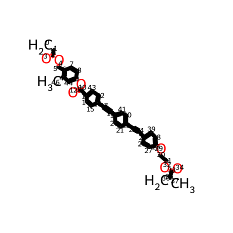 C=CC(=O)OCc1ccc(OC(=O)c2ccc(C#Cc3ccc(C#Cc4ccc(OCCOC(=O)C(=C)C)cc4)cc3)cc2)cc1C